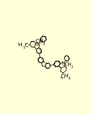 CC1CCC2(C)C(C1)c1cc(-c3ccc4c(c3)-c3cc(-c5ccc6c(c5)C5CC(C)CCC5(C)N6c5ccccc5)ccc3C4)ccc1N2c1ccccc1